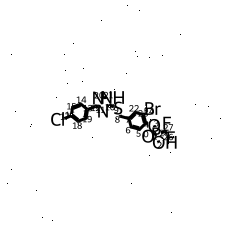 O=P(O)(Oc1ccc(CSc2nc(-c3ccc(Cl)cc3)n[nH]2)cc1Br)C(F)F